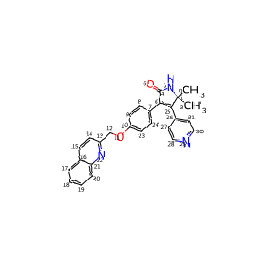 CC1(C)NC(=O)C(c2ccc(OCc3ccc4ccccc4n3)cc2)=C1c1ccncc1